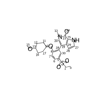 CCS(=O)(=O)c1ccc(OC2CCC(OC)CC2)c(-c2cn(C)c(=O)c3[nH]ccc23)c1